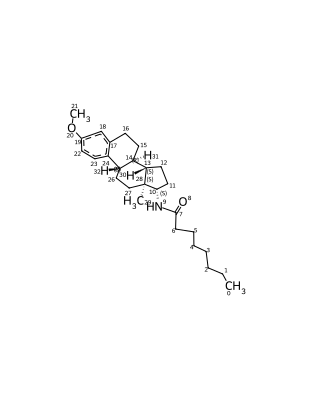 CCCCCCCC(=O)N[C@H]1CC[C@H]2[C@@H]3CCc4cc(OC)ccc4[C@H]3CC[C@]12C